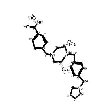 C[C@@H]1CN(Cc2ccc(C(=O)NO)cc2)C[C@H](C)N1Cc1ccc(CN2CCCC2)cc1